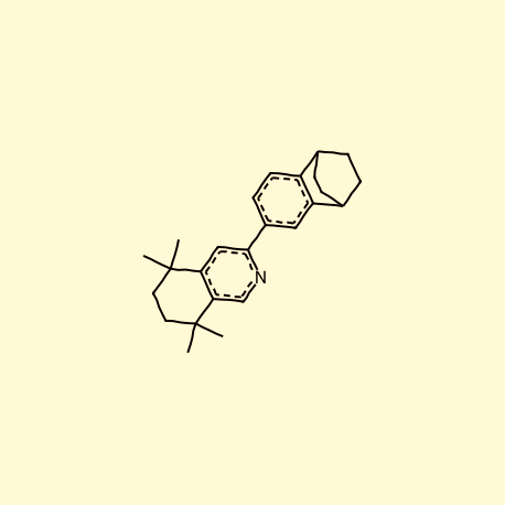 CC1(C)CCC(C)(C)c2cc(-c3ccc4c(c3)C3CCC4CC3)ncc21